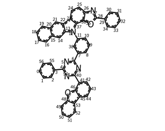 c1ccc(-c2nc(-c3cccc(-n4c5cc6ccccc6cc5c5ccc6nc(-c7ccccc7)oc6c54)c3)nc(-c3cccc4c3oc3ccccc34)n2)cc1